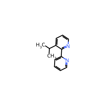 CC(C)c1cccnc1-c1ccccn1